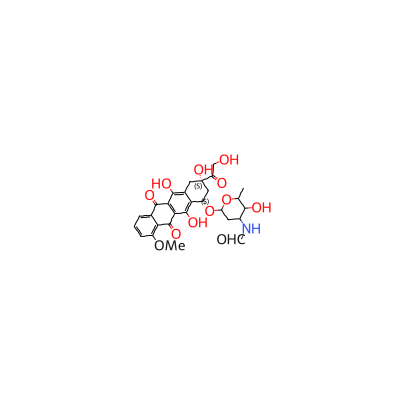 COc1cccc2c1C(=O)c1c(O)c3c(c(O)c1C2=O)C[C@@](O)(C(=O)CO)C[C@@H]3OC1CC(NC=O)C(O)C(C)O1